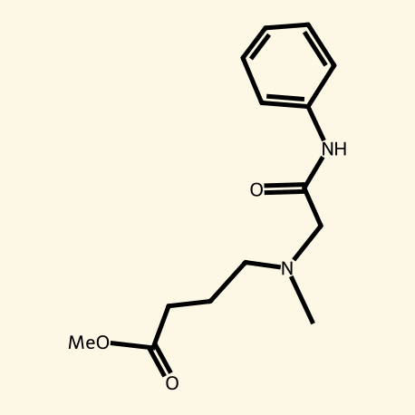 COC(=O)CCCN(C)CC(=O)Nc1ccccc1